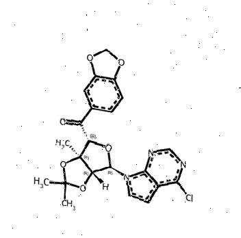 CC1(C)O[C@H]2[C@H](n3ccc4c(Cl)ncnc43)O[C@@H](C(=O)c3ccc4c(c3)OCO4)[C@]2(C)O1